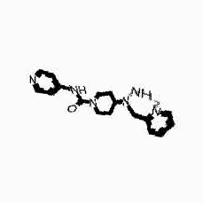 NN(Cc1ccccn1)C1CCN(C(=O)Nc2ccncc2)CC1